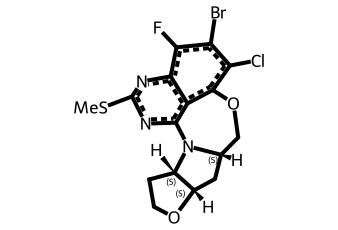 CSc1nc2c3c(c(Cl)c(Br)c(F)c3n1)OC[C@@H]1C[C@@H]3OCC[C@@H]3N21